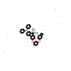 CC1(C)c2cc(N(c3ccccc3)c3ccccc3)ccc2-c2cc3c(cc21)B1c2cc4c(cc2Oc2cccc(c21)O3)CC4